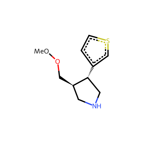 COOC[C@@H]1CNC[C@H]1c1ccsc1